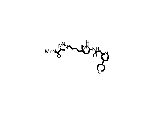 CNC(=O)c1cn(CCCCC2=CC=C(NC(=O)Cc3cc(C4CCOCC4)ccn3)NN2)nn1